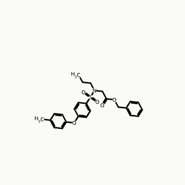 CCCN(CC(=O)OCc1ccccc1)S(=O)(=O)c1ccc(Oc2ccc(C)cc2)cc1